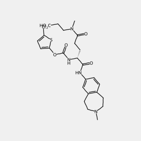 CN1CCc2ccc(NC(=O)[C@@H](CCC(=O)N(C)CCC(=O)O)NC(=O)Oc3ccc(Cl)s3)cc2CC1